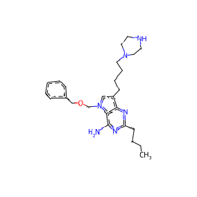 CCCCc1nc(N)c2c(n1)c(CCCCN1CCNCC1)cn2COCc1ccccc1